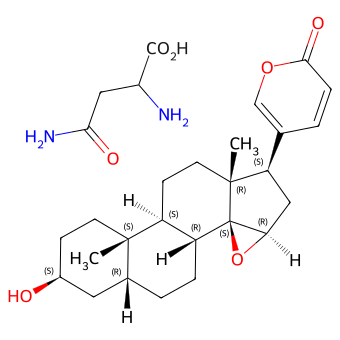 C[C@]12CC[C@H](O)C[C@H]1CC[C@@H]1[C@@H]2CC[C@]2(C)[C@@H](c3ccc(=O)oc3)C[C@H]3O[C@]132.NC(=O)CC(N)C(=O)O